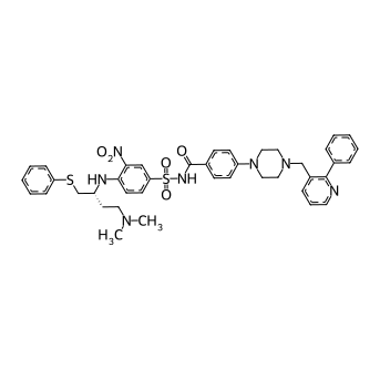 CN(C)CC[C@H](CSc1ccccc1)Nc1ccc(S(=O)(=O)NC(=O)c2ccc(N3CCN(Cc4cccnc4-c4ccccc4)CC3)cc2)cc1[N+](=O)[O-]